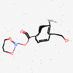 O=C(ON1OCCO1)c1ccc(CO)c([N+](=O)[O-])c1